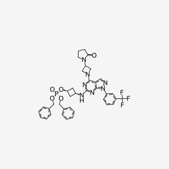 O=C1CCCN1C1CN(c2nc(N[C@H]3C[C@@H](OP(=O)(OCc4ccccc4)OCc4ccccc4)C3)nc3c2cnn3-c2cccc(C(F)(F)F)c2)C1